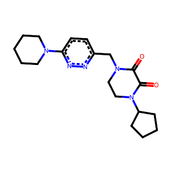 O=C1C(=O)N(C2CCCC2)CCN1Cc1ccc(N2CCCCC2)nn1